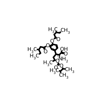 CCC(C)CC(=O)Oc1ccc(C(CC(C)OC(=O)OC(C)C(C)C)[C@H](N)C(=O)O)cc1OC(=O)CC(C)CC